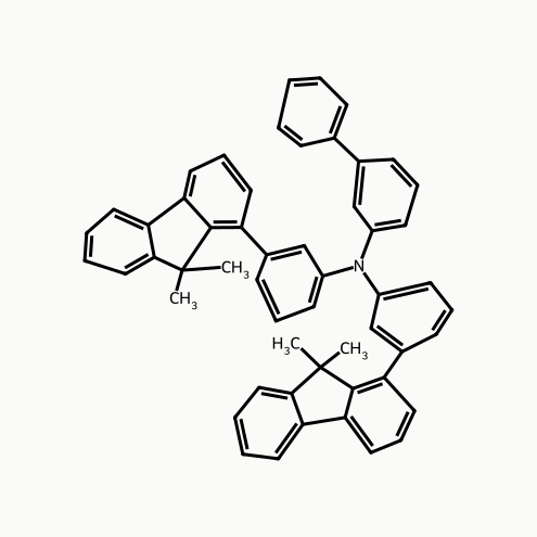 CC1(C)c2ccccc2-c2cccc(-c3cccc(N(c4cccc(-c5ccccc5)c4)c4cccc(-c5cccc6c5C(C)(C)c5ccccc5-6)c4)c3)c21